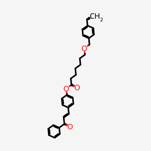 C=Cc1ccc(COCCCCCCC(=O)Oc2ccc(C=CC(=O)c3ccccc3)cc2)cc1